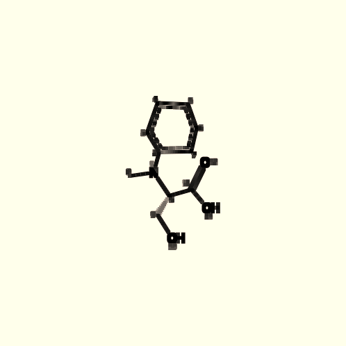 CN(c1ccccc1)[C@@H](CO)C(=O)O